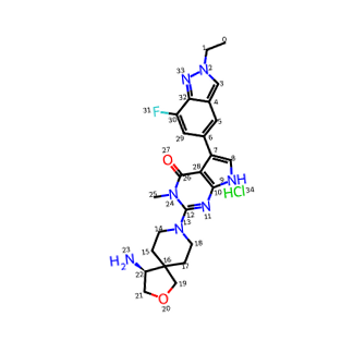 CCn1cc2cc(-c3c[nH]c4nc(N5CCC6(CC5)COC[C@H]6N)n(C)c(=O)c34)cc(F)c2n1.Cl